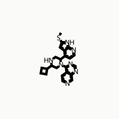 CSc1cc2c(C3CNC(C4CCC4)CN3c3ncnc4cnccc34)ccnc2[nH]1